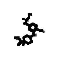 C[C@@H](CO)Nc1ncc([N+](=O)[O-])c(NC2CCC(C)(C(N)=O)CC2)n1